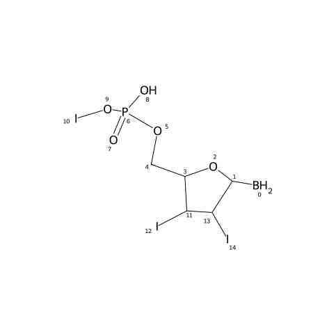 BC1OC(COP(=O)(O)OI)C(I)C1I